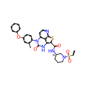 C=CS(=O)(=O)N1CCC[C@@H](NC(=O)c2sc3nccc4c3c2NC(=O)N4c2ccc(Oc3ccccc3)cc2C)C1